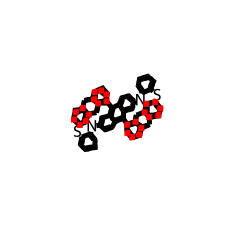 c1ccc2c(c1)Sc1ccccc1N2c1ccc2c(-c3cccc4c3C3c5ccccc5C4c4ccccc43)c3cc(N4c5ccccc5Sc5ccccc54)ccc3c(-c3cccc4c3C3c5ccccc5C4c4ccccc43)c2c1